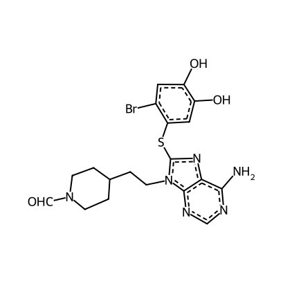 Nc1ncnc2c1nc(Sc1cc(O)c(O)cc1Br)n2CCC1CCN(C=O)CC1